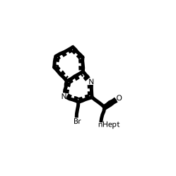 CCCCCCCC(=O)c1nc2ccccc2nc1Br